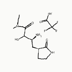 CN(C)C(=O)C(O)[C@@H](N)C[C@@H]1CCNC1=O.O=C(O)C(F)(F)F